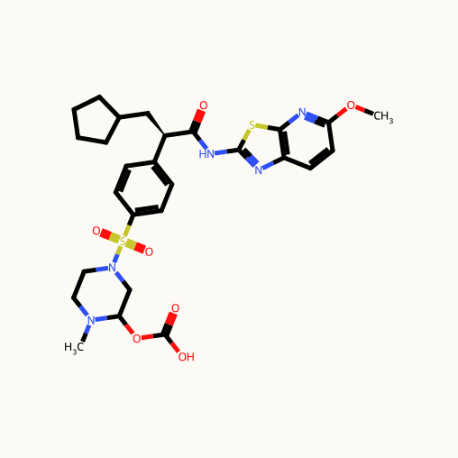 COc1ccc2nc(NC(=O)[C@H](CC3CCCC3)c3ccc(S(=O)(=O)N4CCN(C)C(OC(=O)O)C4)cc3)sc2n1